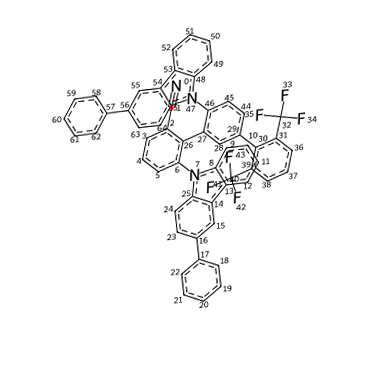 N#Cc1cccc(-n2c3ccccc3c3cc(-c4ccccc4)ccc32)c1-c1cc(-c2c(C(F)(F)F)cccc2C(F)(F)F)ccc1-n1c2ccccc2c2cc(-c3ccccc3)ccc21